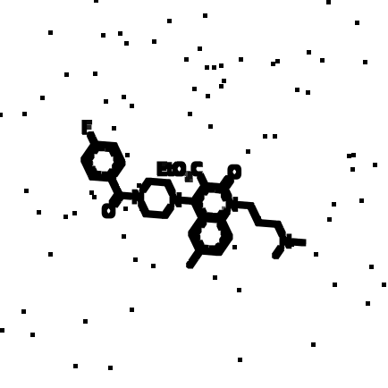 CCOC(=O)c1c(N2CCN(C(=O)c3ccc(F)cc3)CC2)c2cc(C)ccc2n(CCCN(C)C)c1=O